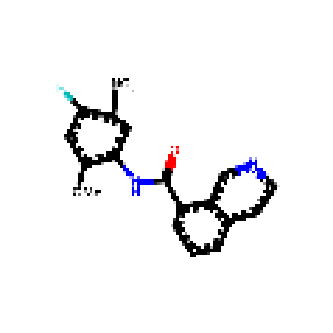 COc1cc(F)c([N+](=O)[O-])cc1NC(=O)c1cccc2ccncc12